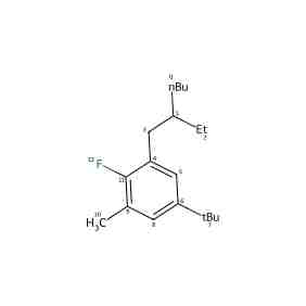 CCCCC(CC)Cc1cc(C(C)(C)C)cc(C)c1F